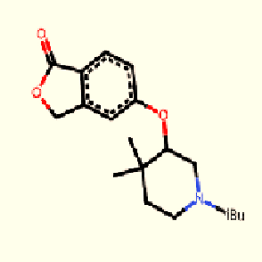 CCC(C)N1CCC(C)(C)C(Oc2ccc3c(c2)COC3=O)C1